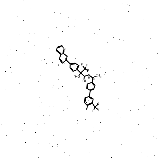 C[C@H](NC(O)C(O)(c1ccc(-c2ccc3cccnc3n2)cc1)C(F)(F)F)c1ccc(-c2ccc(F)c(C(F)(F)F)c2)cc1